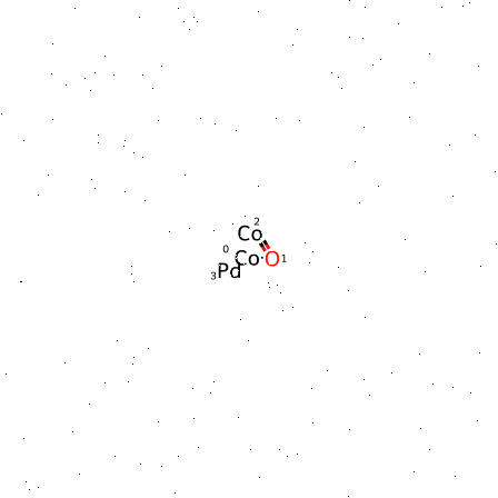 [Co].[O]=[Co].[Pd]